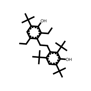 CCc1cc(C(C)(C)C)c(O)c(CC)c1C[CH]c1c(C(C)(C)C)cc(C(C)(C)C)c(O)c1C(C)(C)C